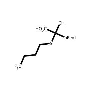 CCCCCC(C)(SCCCC(F)(F)F)C(=O)O